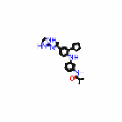 C=C(N=C1NCCN1)c1ccc(Nc2cccc(NC(=O)C(C)C)c2)c(C2CCCC2)c1